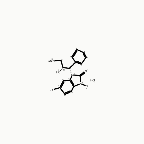 CCn1c(=O)n([C@@H](c2ccccc2)[C@H](O)CNC)c2cc(F)ccc21.Cl